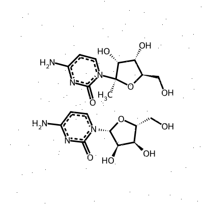 C[C@@]1(n2ccc(N)nc2=O)O[C@H](CO)[C@@H](O)[C@H]1O.Nc1ccn([C@@H]2O[C@H](CO)[C@@H](O)[C@H]2O)c(=O)n1